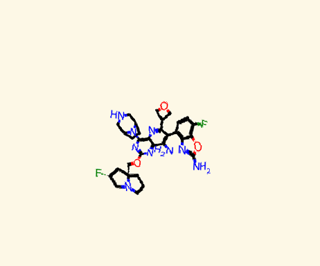 Nc1nc2c(-c3c(C4COC4)nc4c(N5C6CCC5CNC6)nc(OC[C@@]56CCCN5C[C@H](F)C6)nc4c3N)ccc(F)c2o1